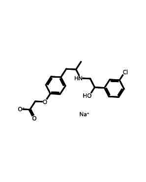 CC(Cc1ccc(OCC(=O)[O-])cc1)NCC(O)c1cccc(Cl)c1.[Na+]